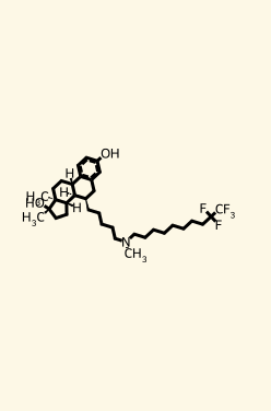 CN(CCCCCCCCC(F)(F)C(F)(F)F)CCCCC[C@@H]1Cc2cc(O)ccc2[C@H]2CC[C@@]3(C)[C@@H](CC[C@]3(C)O)[C@H]12